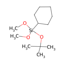 CO[Si](OC)(OC(C)(C)C)C1CCCCC1